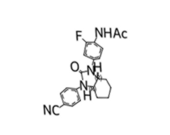 CC(=O)Nc1ccc(N2C(=O)N(c3ccc(C#N)cc3)[C@@H]3CCCC[C@H]32)cc1F